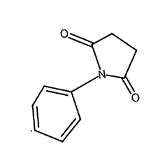 O=C1CCC(=O)N1c1cc[c]cc1